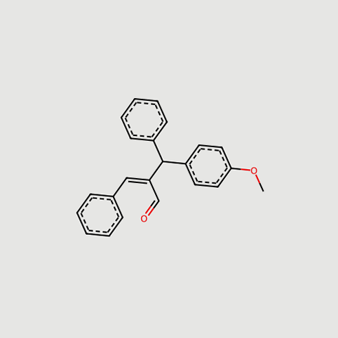 COc1ccc(C(/C(C=O)=C/c2ccccc2)c2ccccc2)cc1